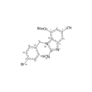 COc1cc(C#N)cc2nc(N)n(Cc3ccc(Br)cc3)c12